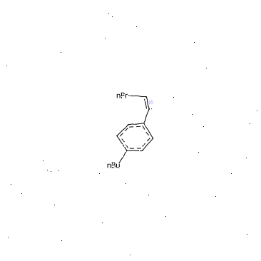 CCC/C=[C]\c1ccc(CCCC)cc1